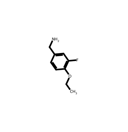 CCOc1ccc(CN)cc1F